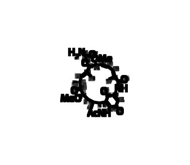 COC1CC(C)CC2=C(NC(C)=O)C(=O)C=C(NC(=O)/C(C)=C/C=C\C(OC)C(OC(N)=O)/C(C)=C/[C@H](C)C1=O)C2=O